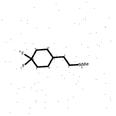 CNCCC1CCC(F)(F)CC1